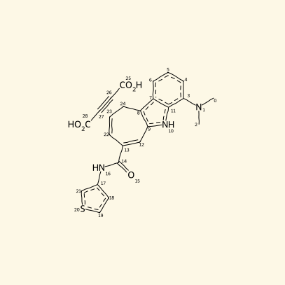 CN(C)c1cccc2c3c([nH]c12)C=C(C(=O)Nc1ccsc1)C=CC3.O=C(O)C#CC(=O)O